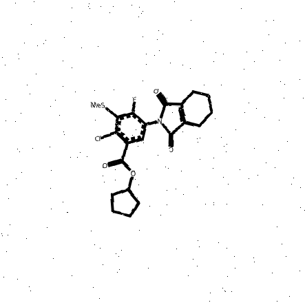 CSc1c(F)c(N2C(=O)C3=C(CCCC3)C2=O)cc(C(=O)OC2CCCC2)c1Cl